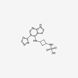 CCCS(=O)(=O)NC1CC(Nc2c(-c3nnco3)cnc3[nH]ccc23)C1